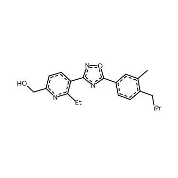 CCc1nc(CO)ccc1-c1noc(-c2ccc(CC(C)C)c(C)c2)n1